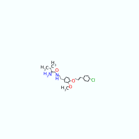 COc1cc(CCNC(=O)[C@@H](N)C(C)C)ccc1OCC=Cc1ccc(Cl)cc1